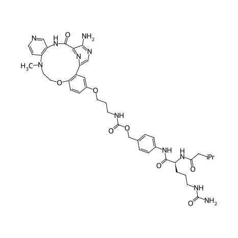 CC(C)CC(=O)N[C@@H](CCCNC(N)=O)C(=O)Nc1ccc(COC(=O)NCCCOc2ccc3c(c2)-c2cnc(N)c(n2)C(=O)Nc2cnccc2N(C)CCO3)cc1